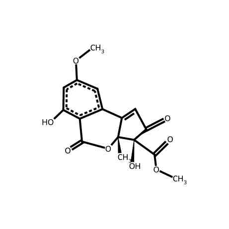 COC(=O)[C@@]1(O)C(=O)C=C2c3cc(OC)cc(O)c3C(=O)O[C@]21C